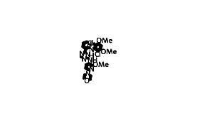 COc1cc(OC)c(Cl)c(Nc2ncccc2-c2ncnc(Nc3ccc(N4CCOCC4)nc3OC)n2)c1Cl